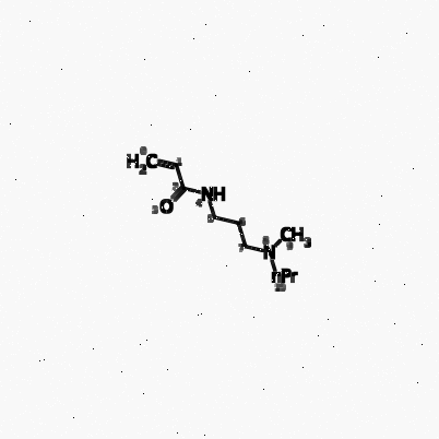 C=CC(=O)NCCCN(C)CCC